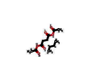 CC(=O)OC(=O)CCC(=O)OC(C)=O.CCCC